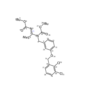 CS/C(=N\C(=O)OC(C)(C)C)N(Cc1cccc(OCc2cccc(Cl)c2Cl)c1)C(=O)OC(C)(C)C